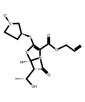 C=CCOC(=O)C1=C(S[C@H]2CC[S@@+]([O-])C2)S[C@@H]2[C@@H]([C@@H](C)O)C(=O)N12